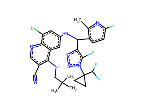 Cc1nc(F)ccc1C(Nc1cc(Cl)c2ncc(C#N)c(NCC(C)(C)C)c2c1)c1nnn(C2(C(F)F)CC2)c1F